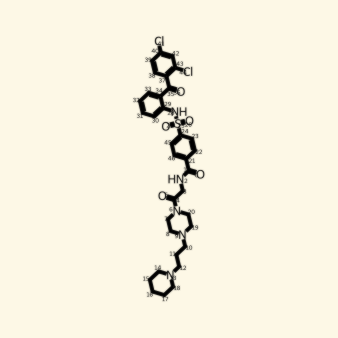 O=C(NCC(=O)N1CCN(CCCN2CCCCC2)CC1)c1ccc(S(=O)(=O)Nc2ccccc2C(=O)c2ccc(Cl)cc2Cl)cc1